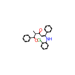 CC(C(=O)C=C(Nc1ccccc1Cl)c1ccccc1)C(=O)c1ccccc1